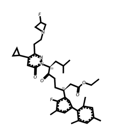 CCOC(=O)C[C@H](CCC(=O)[C@H](CC(C)C)n1nc(CCN2CC(F)C2)c(C2CC2)cc1=O)c1cc(-c2c(C)cc(C)cc2C)cc(C)c1F